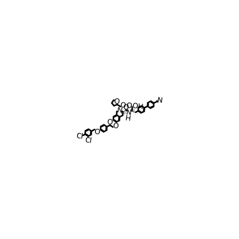 N#Cc1ccc(-c2ccc(C[C@H](NC(=O)[C@@H]3Cc4cc5c(cc4CN3C(=O)C3CCCO3)OC(c3ccc(OCc4ccc(Cl)c(Cl)c4)cc3)CO5)C(=O)O)cc2)cc1